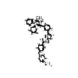 CN1CCN(Cc2ccc(C(=O)Nc3nc(-c4cccc(C#C[Si](c5ccccc5)(c5ccccc5)C(C)(C)C)c4)cs3)cc2)CC1